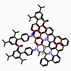 CC(C)c1cc(C(C)C)c(-c2ccc(N(c3ccc(-c4c(C(C)C)cc(C(C)C)cc4C(C)C)cc3)c3ccc4c(c3)N(c3c(-c5ccccc5)cccc3-c3ccccc3)c3cc(-c5ccccc5)cc5c3B4[C@H](C(C)N(c3ccc(-c4c(C(C)C)cc(C(C)C)cc4C(C)C)cc3)c3ccc(-c4c(C(C)C)cc(C(C)C)cc4C(C)C)cc3)C(C)N5c3c(-c4ccccc4)cccc3-c3ccccc3)cc2)c(C(C)C)c1